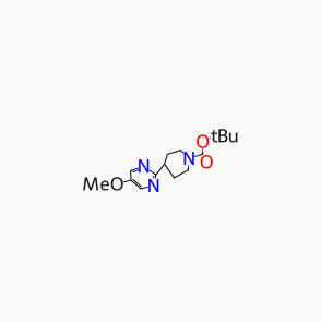 COc1cnc(C2CCN(C(=O)OC(C)(C)C)CC2)nc1